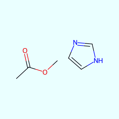 COC(C)=O.c1c[nH]cn1